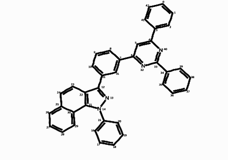 c1ccc(-c2cc(-c3cccc(-c4nn(-c5ccccc5)c5c4ccc4ccccc45)c3)nc(-c3ccccc3)n2)cc1